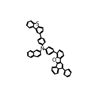 c1ccc(-c2cc3c4cccc(-c5ccc(N(c6ccc(-c7ccc8sc9ccccc9c8c7)cc6)c6ccc7ccccc7c6)cc5)c4oc3c3ccccc23)cc1